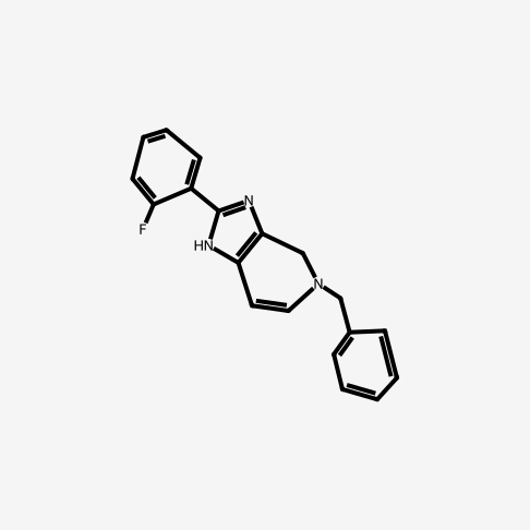 Fc1ccccc1-c1nc2c([nH]1)C=CN(Cc1ccccc1)C2